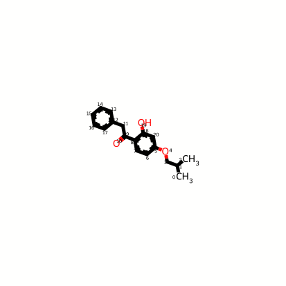 CC(C)COc1ccc(C(=O)Cc2ccccc2)c(O)c1